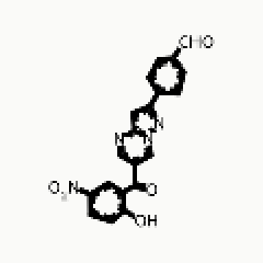 O=Cc1ccc(-c2cc3ncc(C(=O)c4cc([N+](=O)[O-])ccc4O)cn3n2)cc1